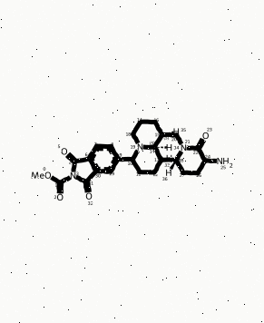 COC(=O)N1C(=O)c2ccc(C3CC[C@H]4[C@@H]5[C@@H](CCCN35)CN3C(=O)C(N)CC[C@H]43)cc2C1=O